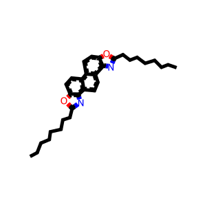 CCCCCCCCc1nc2c(ccc3c4ccc5oc(CCCCCCCC)nc5c4ccc32)o1